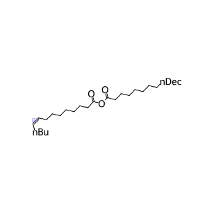 CCCC/C=C\CCCCCCCC(=O)OC(=O)CCCCCCCCCCCCCCCCC